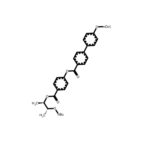 CCCCCCCCOc1ccc(-c2ccc(C(=O)Oc3ccc(C(=O)O[C@H](C)[C@@H](C)OCCCC)cc3)cc2)cc1